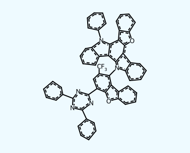 FC(F)(F)c1cc(-c2nc(-c3ccccc3)nc(-c3ccccc3)n2)c2oc3ccccc3c2c1-n1c2ccccc2c2c3oc4ccccc4c3c3c(c4ccccc4n3-c3ccccc3)c21